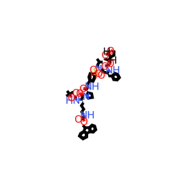 CC(C)CN(C[C@@H](O)[C@H](Cc1ccccc1)NC(=O)OC1CO[C@H]2OCC[C@@H]12)S(=O)(=O)c1ccc(CNC(=O)[C@@H]2CCCN2C(=O)[C@H](CCCCNC(=O)OCC2c3ccccc3-c3ccccc32)NC(=O)OC(C)(C)C)cc1